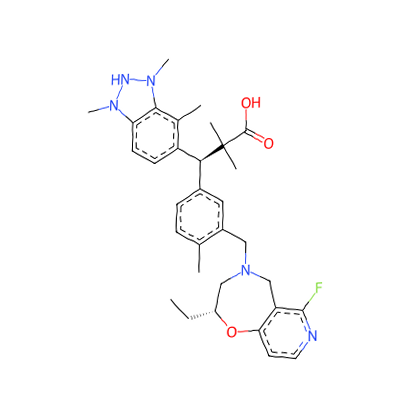 CC[C@@H]1CN(Cc2cc([C@@H](c3ccc4c(c3C)N(C)NN4C)C(C)(C)C(=O)O)ccc2C)Cc2c(ccnc2F)O1